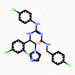 O=C(/N=C(/Nc1ccc(Cl)cc1)NC(Cn1ccnc1)c1ccc(Cl)cc1Cl)NCc1ccc(Cl)cc1